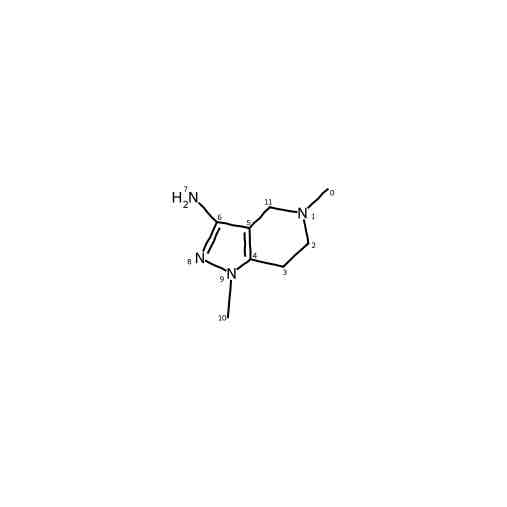 CN1CCc2c(c(N)nn2C)C1